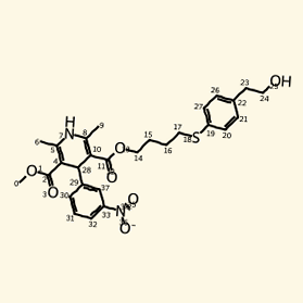 COC(=O)C1=C(C)NC(C)=C(C(=O)OCCCCSc2ccc(CCO)cc2)C1c1cccc([N+](=O)[O-])c1